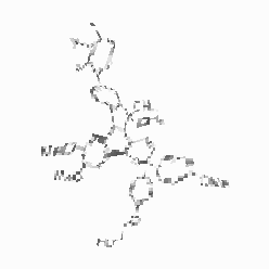 COc1ccc(C2(c3ccc(OCCO)cc3)C=Cc3c4c(c5cc(OC)c(OC)cc5c3O2)-c2ccc(-c3ccc(F)c(F)c3F)cc2C4(C)C)cc1